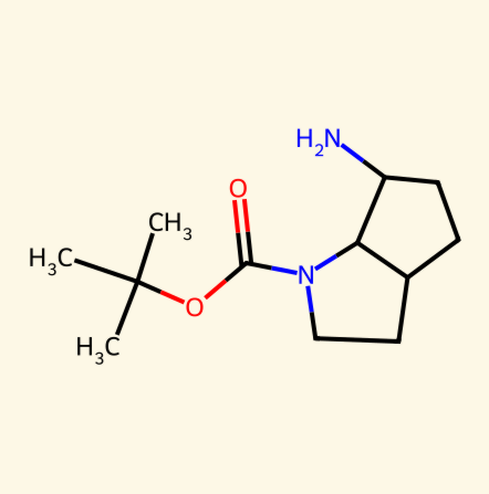 CC(C)(C)OC(=O)N1CCC2CCC(N)C21